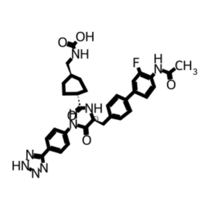 CC(=O)Nc1ccc(-c2ccc(C[C@H](NC(=O)[C@H]3CC[C@H](CNC(=O)O)CC3)C(=O)Nc3ccc(-c4nn[nH]n4)cc3)cc2)cc1F